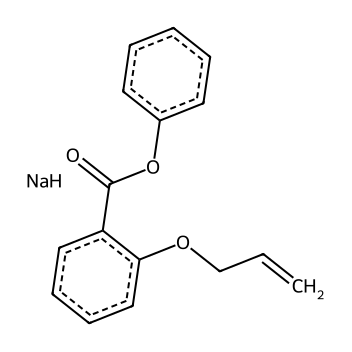 C=CCOc1ccccc1C(=O)Oc1ccccc1.[NaH]